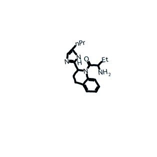 CCCc1cnc(C2CCc3ccccc3N2C(=O)C(N)CC)[nH]1